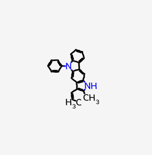 C/C=C\c1c(C)[nH]c2cc3c4ccccc4n(-c4ccccc4)c3cc12